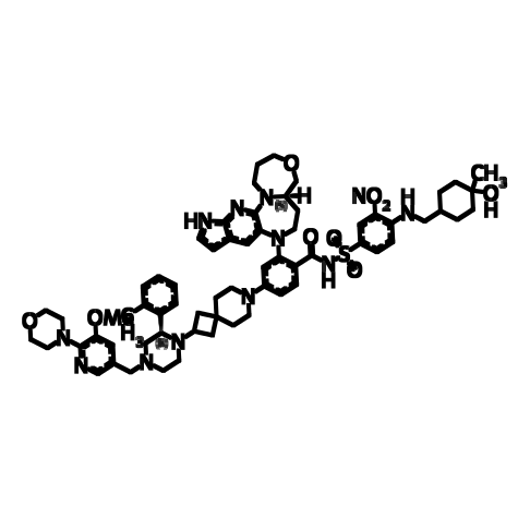 COc1cc(CN2CCN(C3CC4(CCN(c5ccc(C(=O)NS(=O)(=O)c6ccc(NCC7CCC(C)(O)CC7)c([N+](=O)[O-])c6)c(N6CC[C@H]7COCCCN7c7nc8[nH]ccc8cc76)c5)CC4)C3)[C@H](c3ccccc3C)C2)cnc1N1CCOCC1